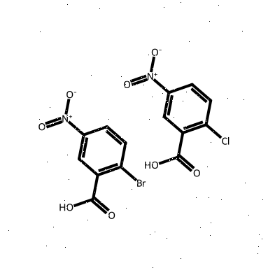 O=C(O)c1cc([N+](=O)[O-])ccc1Br.O=C(O)c1cc([N+](=O)[O-])ccc1Cl